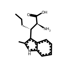 CCC[C@@H](c1c(C)[nH]c2ccccc12)[C@H](N)C(=O)O